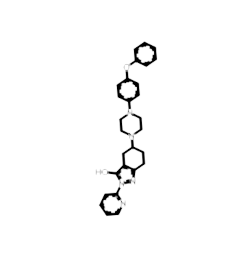 Oc1c2c(nn1-c1ccccn1)CCC(N1CCN(c3ccc(Oc4ccccc4)cc3)CC1)C2